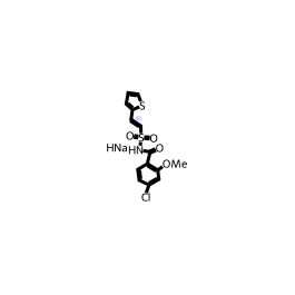 COc1cc(Cl)ccc1C(=O)NS(=O)(=O)/C=C/c1cccs1.[NaH]